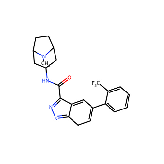 CN1C2CCC1CC(NC(=O)C1=NN=C3CC=C(c4ccccc4C(F)(F)F)C=C31)C2